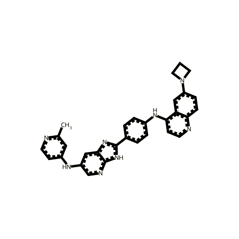 Cc1cc(Nc2cnc3[nH]c(-c4ccc(Nc5ccnc6ccc(N7CCC7)cc56)cc4)nc3c2)ccn1